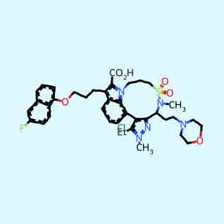 CCc1c2c(nn1C)C(CCN1CCOCC1)N(C)S(=O)(=O)CCCn1c(C(=O)O)c(CCCOc3cccc4cc(F)ccc34)c3ccc(Cl)c-2c31